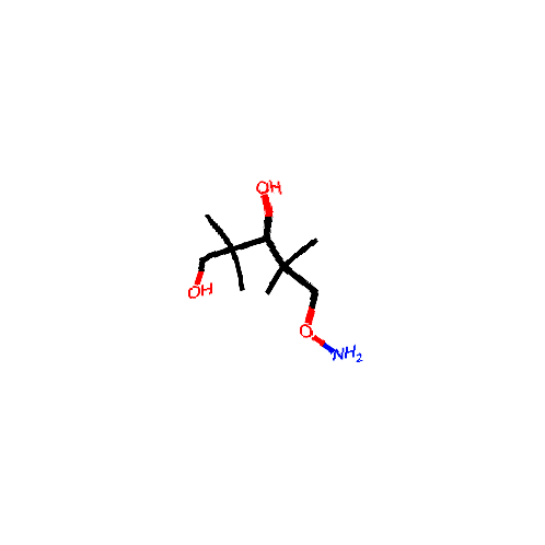 CC(C)(CO)C(O)C(C)(C)CON